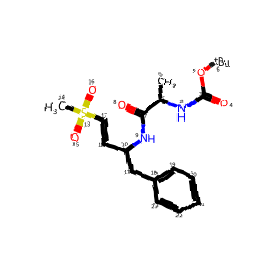 CC(NC(=O)OC(C)(C)C)C(=O)NC(C=CS(C)(=O)=O)Cc1ccccc1